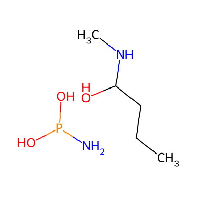 CCCC(O)NC.NP(O)O